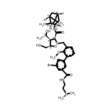 COc1c(CN2O[C@@H](CO)[C@@H]([C@H](C)O)[C@H]2C(=O)N[C@H]2C[C@H]3C[C@@H]([C@@H]2C)C3(C)C)cccc1-c1cc(Br)cc(C(=O)NCCN(C)C)c1